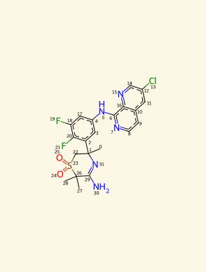 CC1(c2cc(Nc3nccc4cc(Cl)cnc34)cc(F)c2F)CS(=O)(=O)C(C)(C)C(N)=N1